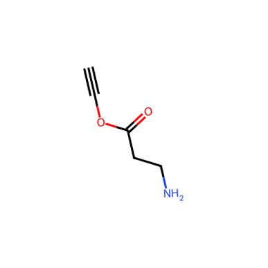 C#COC(=O)CCN